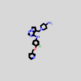 NC1CCN(Cc2ccn3ncnc(Nc4ccc(OCc5cccnc5)c(Cl)c4)c23)CC1